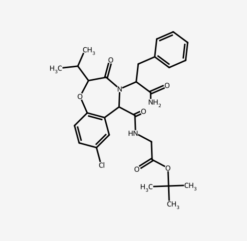 CC(C)C1Oc2ccc(Cl)cc2C(C(=O)NCC(=O)OC(C)(C)C)N(C(Cc2ccccc2)C(N)=O)C1=O